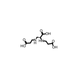 O=C(O)CCNC[C@H](NCCC(=O)O)C(=O)O